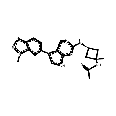 CC(=O)N[C@]1(C)C[C@@H](Nc2ncc3c(-c4ccc5nnn(C)c5c4)c[nH]c3n2)C1